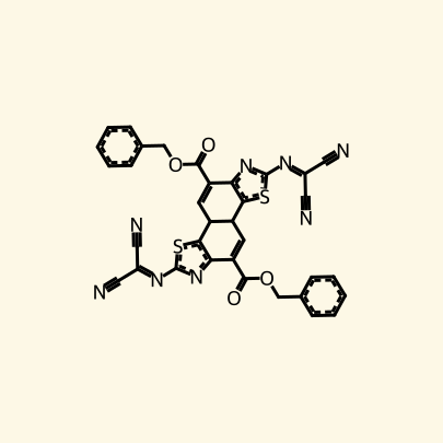 N#CC(C#N)=Nc1nc2c(s1)C1C=C(C(=O)OCc3ccccc3)c3nc(N=C(C#N)C#N)sc3C1C=C2C(=O)OCc1ccccc1